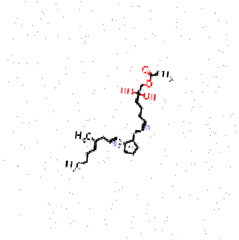 CCCC[C@@H](C)C/C=C/[C@H]1CCC[C@@H]1C/C=C\CCCC(O)(O)COC(C)=O